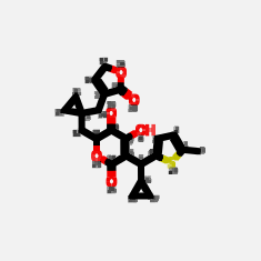 Cc1ccc(C(C2=C(O)C(=O)C(CC3(CC4=CCOC4=O)CC3)OC2=O)C2CC2)s1